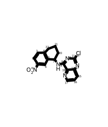 O=[N+]([O-])c1ccc2c(c1)C(Nc1nc(Cl)nc3cccnc13)CCC2